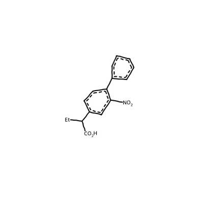 CCC(C(=O)O)c1ccc(-c2ccccc2)c([N+](=O)[O-])c1